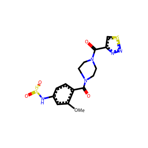 COc1cc(N[SH](=O)=O)ccc1C(=O)N1CCN(C(=O)c2csnn2)CC1